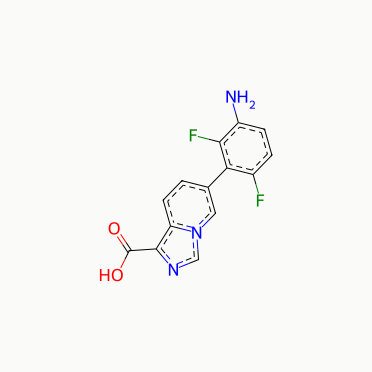 Nc1ccc(F)c(-c2ccc3c(C(=O)O)ncn3c2)c1F